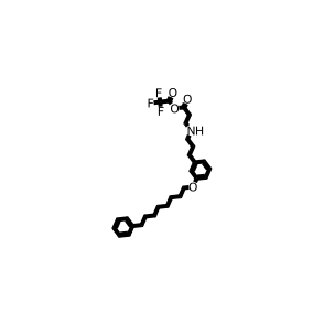 O=C(CCNCCCc1cccc(OCCCCCCCCc2ccccc2)c1)OC(=O)C(F)(F)F